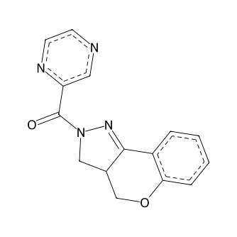 O=C(c1cnccn1)N1CC2COc3ccccc3C2=N1